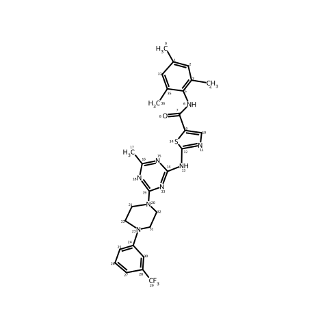 Cc1cc(C)c(NC(=O)c2cnc(Nc3nc(C)nc(N4CCN(c5cccc(C(F)(F)F)c5)CC4)n3)s2)c(C)c1